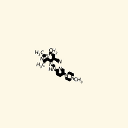 C=N/C=C(C#N)\C(=N/CNc1ccc(N2CCN(C)CC2)cn1)c1sc(C)nc1C